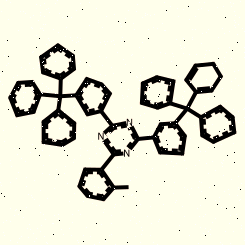 Cc1ccccc1-c1nc(-c2cccc(C(C3=CCCC=C3)(c3ccccc3)c3ccccc3)c2)nc(-c2cccc(C(c3ccccc3)(c3ccccc3)c3ccccc3)c2)n1